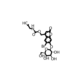 C#CCNC(=O)OCc1cc(=O)oc2cc(O[C@@H]3O[C@H](CO)[C@H](O)[C@H](O)[C@H]3O)c(Br)cc12